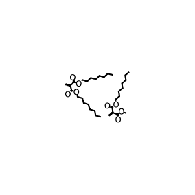 C=C(C(=O)OC)C(=O)OCCCCCCCC.C=C(C(=O)OCCCCCCCC)C(=O)OCCCCCCCC